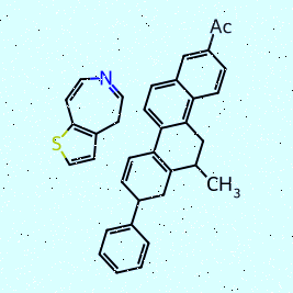 C1=Cc2sccc2CC=N1.CC(=O)c1ccc2c3c(ccc2c1)C1=C(CC(c2ccccc2)C=C1)C(C)C3